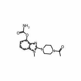 CC(=O)N1CCN(c2nc3c(OC(N)=O)cccc3n2C)CC1